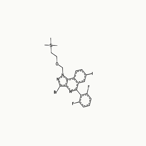 C[Si](C)(C)CCOCn1nc(Br)c2nc(-c3c(F)cccc3F)c3cc(I)ccc3c21